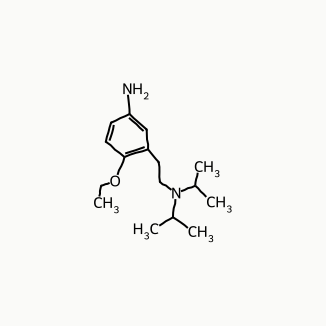 CCOc1ccc(N)cc1CCN(C(C)C)C(C)C